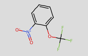 O=[N+]([O-])c1ccccc1OC(F)(F)F